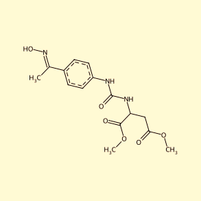 COC(=O)CC(NC(=O)Nc1ccc(/C(C)=N/O)cc1)C(=O)OC